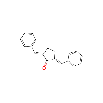 O=C1/C(=C/c2ccccc2)CC/C1=C\c1ccccc1